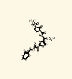 CS(=O)(=O)N1CCN(C(=O)NC(C(=O)O)c2csc(NC(=O)OCc3ccccc3)n2)C1=O